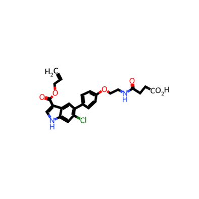 C=CCOC(=O)c1c[nH]c2cc(Cl)c(-c3ccc(OCCNC(=O)CCC(=O)O)cc3)cc12